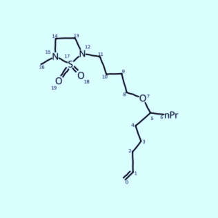 C=CCCCC(CCC)OCCCCN1CCN(C)S1(=O)=O